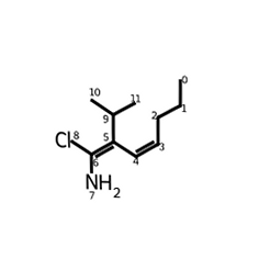 CCC/C=C\C(=C(/N)Cl)C(C)C